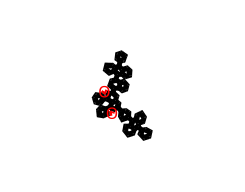 c1ccc(-c2c3ccccc3c(-c3ccc(-c4cc5cc(-c6ccc(-c7c8ccccc8c(-c8ccccc8)c8ccccc78)c7ccccc67)c6oc7ccccc7c6c5c5c4oc4ccccc45)cc3)c3ccccc23)cc1